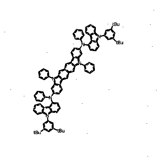 CC(C)(C)c1cc(-n2c3ccccc3c3c(N(c4ccccc4)c4ccc5c6cc7cc8c(cc7cc6n(-c6ccccc6)c5c4)c4ccc(N(c5ccccc5)c5cccc6c5c5ccccc5n6-c5cc(C(C)(C)C)cc(C(C)(C)C)c5)cc4n8-c4ccccc4)cccc32)cc(C(C)(C)C)c1